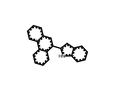 c1ccc2[nH]c(-c3cc4ccccc4c4ccccc34)cc2c1